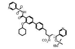 CC(C)(C)[Si](C)(C)O[C@H](CN(CCc1ccc(-c2ccc(C(=O)NS(=O)(=O)c3cccnc3)c(OC3CCCCC3)c2)cc1)C(=O)O)c1cccnc1